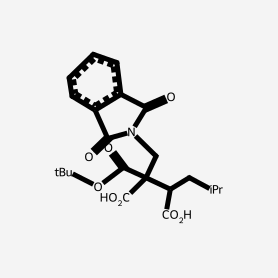 CC(C)CC(C(=O)O)C(CN1C(=O)c2ccccc2C1=O)(C(=O)O)C(=O)OC(C)(C)C